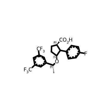 C[C@@H](O[C@H]1CC[C@@H](C(=O)O)C1c1ccc(F)cc1)c1cc(C(F)(F)F)cc(C(F)(F)F)c1